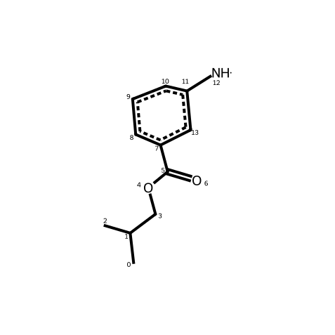 CC(C)COC(=O)c1cccc([NH])c1